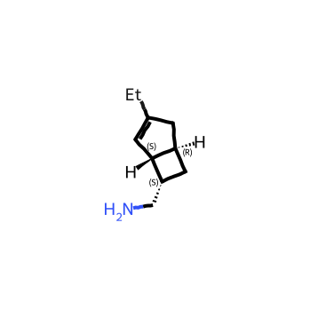 CCC1=C[C@H]2[C@@H](CN)C[C@@H]2C1